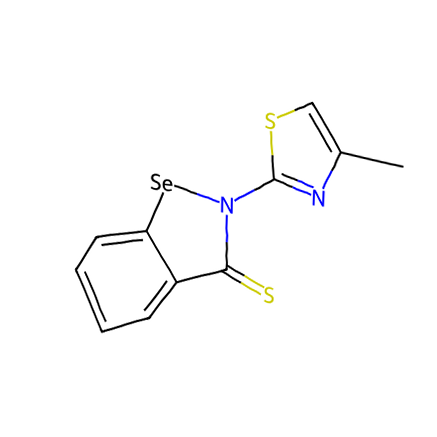 Cc1csc(-n2[se]c3ccccc3c2=S)n1